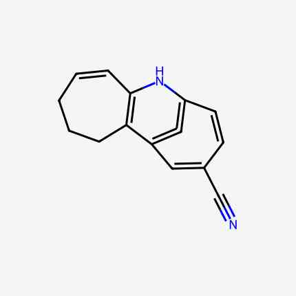 N#CC1=CC2=C=C(C=C1)NC1=C2CCCC=C1